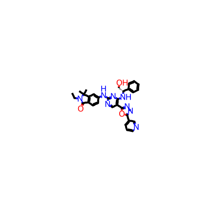 CCN1C(=O)c2ccc(Nc3ncc(-c4nnc(-c5cccnc5)o4)c(N[C@H](CO)c4ccccc4)n3)cc2C1(C)C